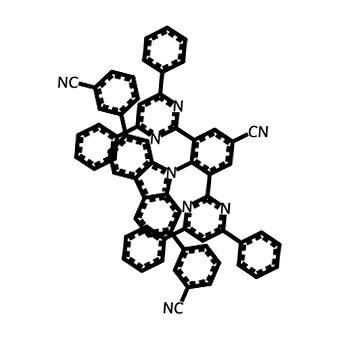 N#Cc1cccc(-c2ccc3c4ccc(-c5cccc(C#N)c5)cc4n(-c4c(-c5nc(-c6ccccc6)cc(-c6ccccc6)n5)cc(C#N)cc4-c4nc(-c5ccccc5)cc(-c5ccccc5)n4)c3c2)c1